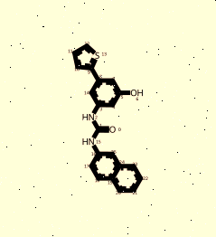 O=C(Nc1cc(O)cc(-c2cccs2)c1)Nc1ccc2ccccc2c1